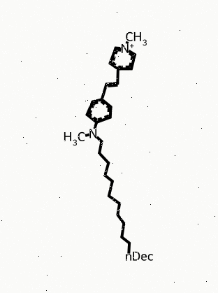 CCCCCCCCCCCCCCCCCCCCCN(C)c1ccc(/C=C/c2cc[n+](C)cc2)cc1